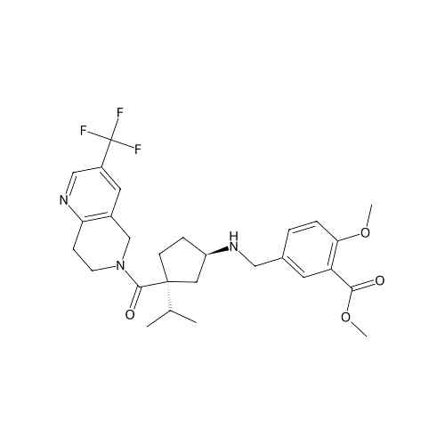 COC(=O)c1cc(CN[C@@H]2CC[C@@](C(=O)N3CCc4ncc(C(F)(F)F)cc4C3)(C(C)C)C2)ccc1OC